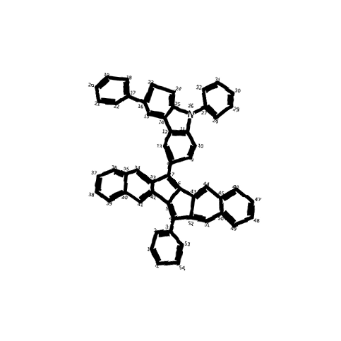 c1ccc(C2=C3C(=C(c4ccc5c(c4)c4cc(-c6ccccc6)ccc4n5-c4ccccc4)c4cc5ccccc5cc43)c3cc4ccccc4cc32)cc1